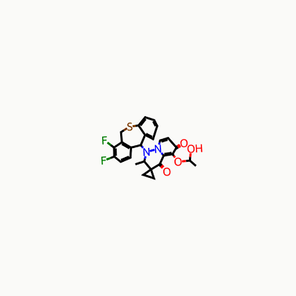 CC(O)Oc1c2n(ccc1=O)N(C1c3ccccc3SCc3c1ccc(F)c3F)C(C)C1(CC1)C2=O